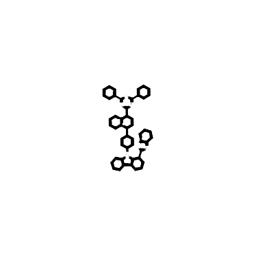 c1ccc(-c2nc(-c3ccccc3)nc(-c3ccc(-c4ccc(-n5c6ccccc6c6cccc(-c7nc8ccccc8s7)c65)cc4)c4ccccc34)n2)cc1